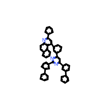 c1ccc(-c2cccc(-c3cc(-c4cccc(-c5cc(-c6ccccc6)nc6ccc7ccccc7c56)c4)nc(-c4cccc(-c5ccccc5)c4)n3)c2)cc1